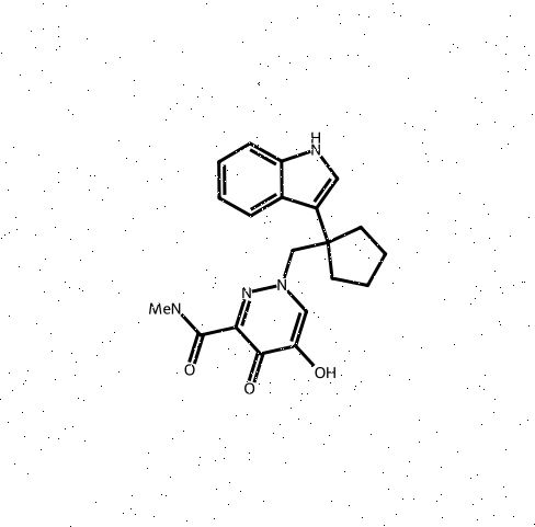 CNC(=O)c1nn(CC2(c3c[nH]c4ccccc34)CCCC2)cc(O)c1=O